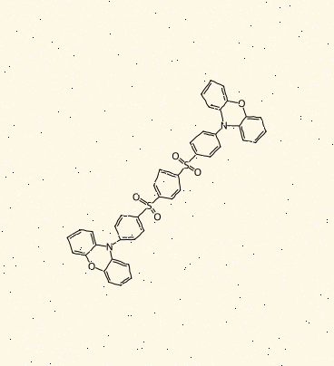 O=S(=O)(c1ccc(N2c3ccccc3Oc3ccccc32)cc1)c1ccc(S(=O)(=O)c2ccc(N3c4ccccc4Oc4ccccc43)cc2)cc1